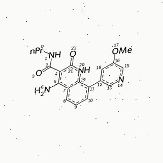 CCCNC(=O)c1c(N)c2cccc(-c3cncc(OC)c3)c2[nH]c1=O